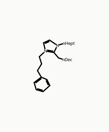 CCCCCCCCCCCc1n(CCCCCCC)cc[n+]1CCCc1ccccc1